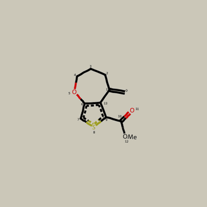 C=C1CCCOc2csc(C(=O)OC)c21